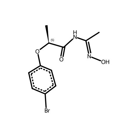 CC(=NO)NC(=O)[C@H](C)Oc1ccc(Br)cc1